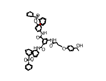 CC(O)c1ccc(OCCCC(=O)Nc2cc(C(=O)Nc3ccc(OP(=O)(c4ccccc4)c4ccccc4)cc3)cc(C(=O)Nc3ccc(OP(=O)(c4ccccc4)c4ccccc4)cc3)c2)cc1